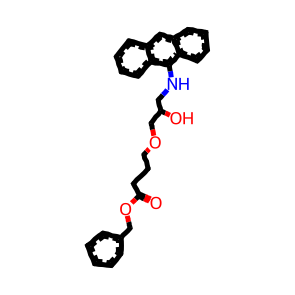 O=C(CCCOCC(O)CNc1c2ccccc2cc2ccccc12)OCc1ccccc1